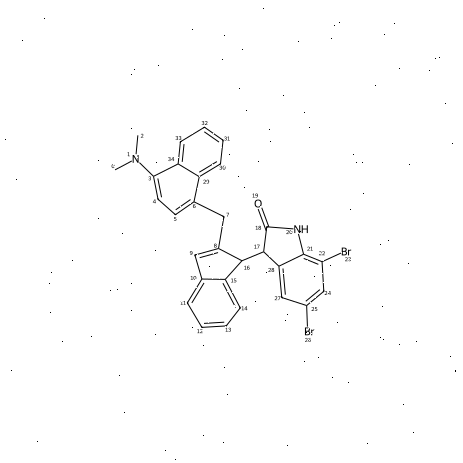 CN(C)c1ccc(CC2=Cc3ccccc3C2C2C(=O)Nc3c(Br)cc(Br)cc32)c2ccccc12